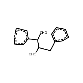 O=CC(Cc1ccccc1)C(C=O)c1ccccc1